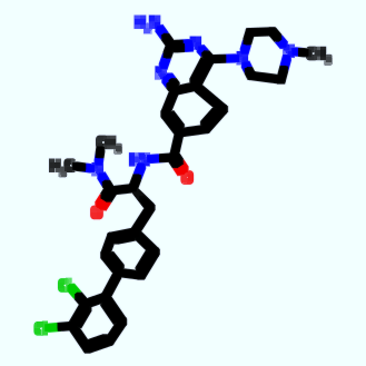 CN1CCN(c2nc(N)nc3cc(C(=O)N[C@@H](Cc4ccc(-c5cccc(Cl)c5Cl)cc4)C(=O)N(C)C)ccc23)CC1